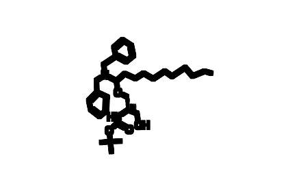 CCCCCCCCCCC(OC[C@H](CO)NC(=O)OC(C)(C)C)N(Cc1ccccc1)Cc1ccccc1